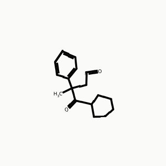 CC(CC=O)(C(=O)C1CCCCC1)c1ccccc1